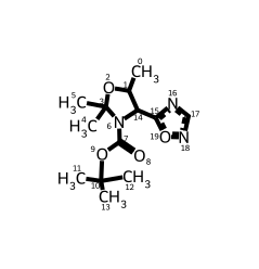 CC1OC(C)(C)N(C(=O)OC(C)(C)C)C1c1ncno1